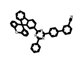 N#Cc1cccc(-c2ccc(-c3nc(C4=CC5C(C=C4)c4ccccc4C54c5ccccc5Oc5ccccc54)nc(-c4ccccc4)n3)cc2)c1